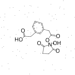 O=C(O)Cc1cccc(CC(=O)O[N+]2(O)C(=O)CCC2=O)c1